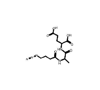 CC(NC(=O)CCCN=[N+]=[N-])C(=O)NC(CCC(=O)O)C(=O)O